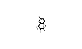 Cc1ccc2c(c1)C(F)(F)C(F)(F)C(C)O2